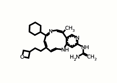 C=C(N)Nc1cc2c(cn1)\C(C)=C/N=C(C1CCCCC1)\C=C(CCC1COC1)/C=C/N2